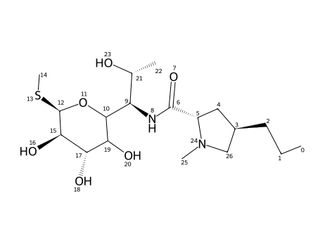 CCC[C@@H]1C[C@@H](C(=O)N[C@@H](C2O[C@H](SC)[C@H](O)[C@@H](O)C2O)[C@@H](C)O)N(C)C1